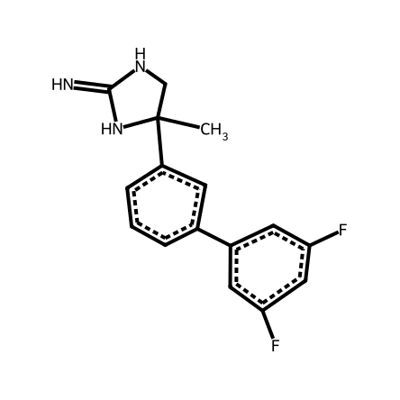 CC1(c2cccc(-c3cc(F)cc(F)c3)c2)CNC(=N)N1